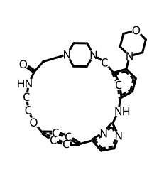 O=C1CN2CCN(CC2)Cc2cc(ccc2N2CCOCC2)Nc2nccc(n2)-c2ccc(cc2)OCCN1